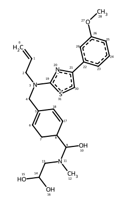 C=CCN(CC1=CCC(C(O)N(C)CC(O)O)C=C1)c1nc(-c2cccc(OC)c2)cs1